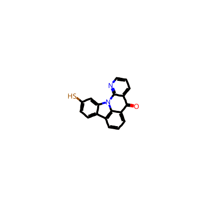 O=c1c2cccnc2n2c3cc(S)ccc3c3cccc1c32